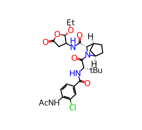 CCO[C@@H]1OC(=O)CC1NC(=O)[C@@H]1[C@H]2CC[C@H](C2)N1C(=O)[C@@H](NC(=O)c1ccc(NC(C)=O)c(Cl)c1)C(C)(C)C